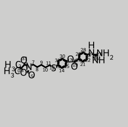 CC1(C)OC(=O)N(CCCCCSc2ccc(OC(=O)c3ccc(NC(=N)N)cc3)cc2)C1=O